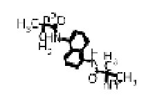 CCCC(C)(C)C(=O)Nc1cccc2c(NC(=O)C(C)(C)CCC)cccc12